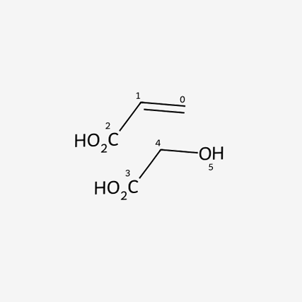 C=CC(=O)O.O=C(O)CO